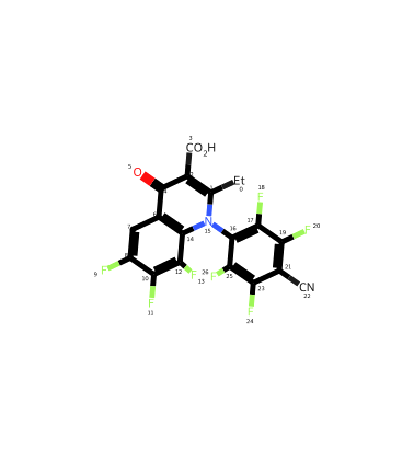 CCc1c(C(=O)O)c(=O)c2cc(F)c(F)c(F)c2n1-c1c(F)c(F)c(C#N)c(F)c1F